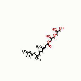 C/C(=C\CC(=O)OCC(O)COCC(O)CO)CCCC(C)CCCC(C)C